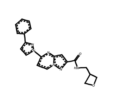 O=C(NCC1COC1)c1cc2nc(-n3ccc(-c4ccccc4)n3)ccn2n1